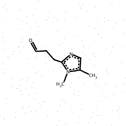 Cc1cnc(CCC=O)n1C